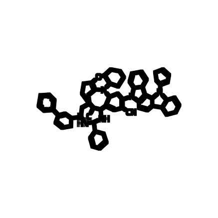 CC1C2NC(C3C=CC=CC3)NC(C3C=C(c4ccccc4)C=CC3)CC13CCC1=C(C3)N(C3CC(N4C5=C(C6C=CC=CC64)C4C(C=C5)C5CCC=CC5N4C4=CC=CCC4)=C(C#N)C=C23)C2CCCCC2O1